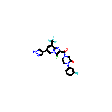 O=C(c1nc2c(C(F)(F)F)cc(-c3cn[nH]c3)cn2c1Cl)N1CCN(c2cccc(F)c2)C(=O)C1